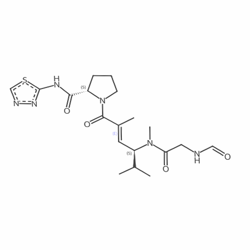 C/C(=C\[C@H](C(C)C)N(C)C(=O)CNC=O)C(=O)N1CCC[C@H]1C(=O)Nc1nncs1